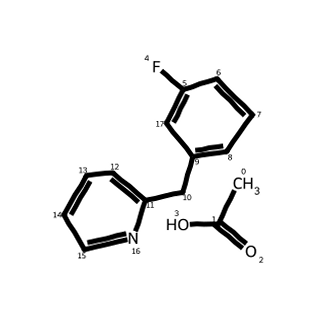 CC(=O)O.Fc1cccc(Cc2ccccn2)c1